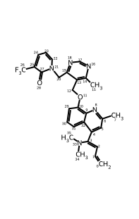 C=C/C=C(/c1cc(C)nc2c(OCc3c(C)ncnc3Cn3cccc(C(F)(F)F)c3=O)cccc12)N(C)C